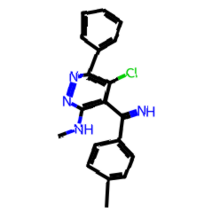 CNc1nnc(-c2ccccc2)c(Cl)c1C(=N)c1ccc(C)cc1